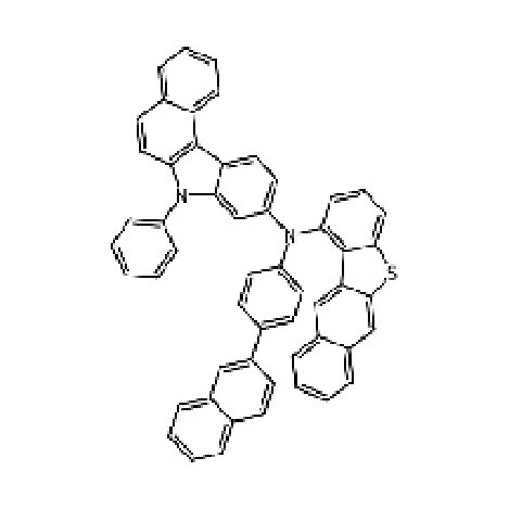 c1ccc(-n2c3cc(N(c4ccc(-c5ccc6ccccc6c5)cc4)c4cccc5sc6cc7ccccc7cc6c45)ccc3c3c4ccccc4ccc32)cc1